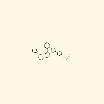 CC1(C)OB(c2ccc(-c3ccc(-c4ccccc4-c4cccc5c4oc4c(-c6ccccc6)cccc45)cc3)cc2)OC1(C)C